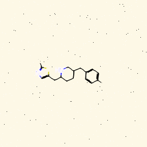 CC(=O)Nc1ncc(CC2CCC(Cc3ccc(C(F)(F)F)cc3)CN2)s1